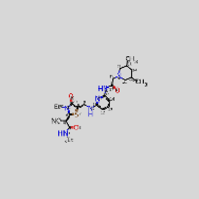 CCNC(=O)C(C#N)=c1sc(=CNc2cccc(NC(=O)CN3CC(C)CC(C)C3)n2)c(=O)n1CC